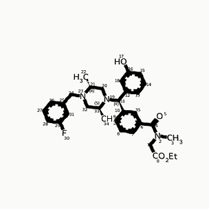 CCOC(=O)CN(C)C(=O)c1cccc([C@H](c2cccc(O)c2)N2C[C@@H](C)N(Cc3cccc(F)c3)C[C@@H]2C)c1